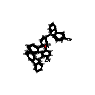 N#Cc1ccc2c(c1)c1ccccc1n2-c1ccc(-c2ccccc2-c2c(C#N)ccc(C#N)c2-n2c3ccccc3c3ccccc32)cc1